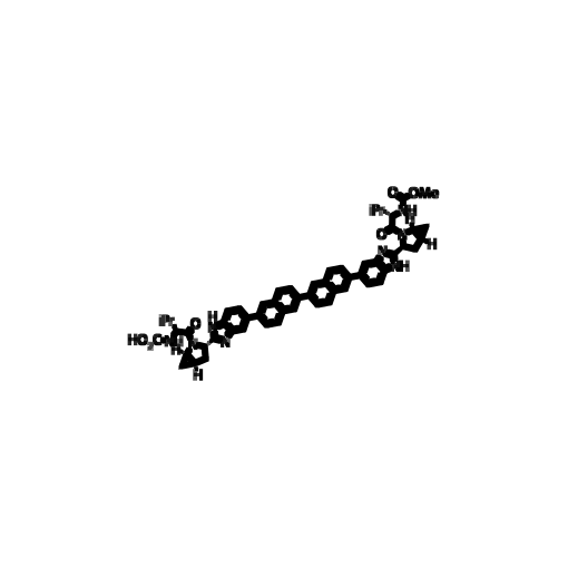 COC(=O)N[C@H](C(=O)N1[C@@H]2C[C@@H]2C[C@H]1c1nc2cc(-c3ccc4cc(-c5ccc6cc(-c7ccc8[nH]c([C@@H]9C[C@H]%10C[C@H]%10N9C(=O)[C@@H](NC(=O)O)C(C)C)nc8c7)ccc6c5)ccc4c3)ccc2[nH]1)C(C)C